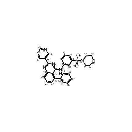 O=S(=O)(c1cccc(Nc2nc(-c3cncnc3)nc3cccc(-c4ccccc4)c23)c1)N1CCOCC1